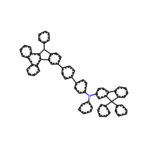 c1ccc(C2c3ccc(-c4ccc(-c5ccc(N(c6ccccc6)c6ccc7c(c6)C(c6ccccc6)(c6ccccc6)c6ccccc6-7)cc5)cc4)cc3-c3c2c2ccccc2c2ccccc32)cc1